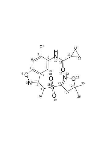 CC(c1noc2cc(F)c(NC(=O)C3CC3)cc12)S(=O)(=O)C1=NOC(C)(C)C1